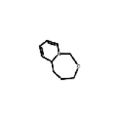 [C]1CCOCN2C=CC=CC12